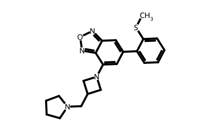 CSc1ccccc1-c1cc(N2CC(CN3CCCC3)C2)c2nonc2c1